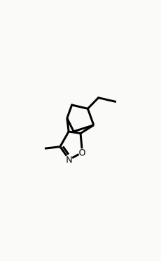 CCC1CC2CC1C1ON=C(C)C21